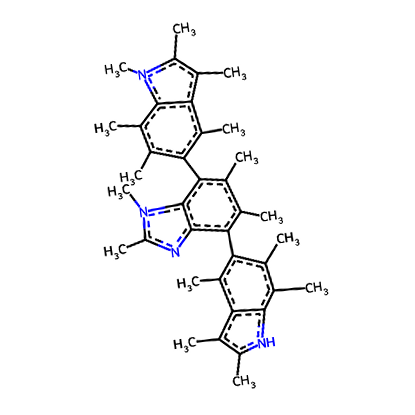 Cc1[nH]c2c(C)c(C)c(-c3c(C)c(C)c(-c4c(C)c(C)c5c(c4C)c(C)c(C)n5C)c4c3nc(C)n4C)c(C)c2c1C